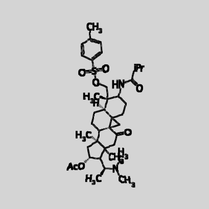 CC(=O)O[C@@H]1C[C@@]2(C)C3CC[C@@H]4C5(CCC(NC(=O)C(C)C)[C@@]4(C)COS(=O)(=O)c4ccc(C)cc4)CC35C(=O)CC2(C)C1[C@H](C)N(C)C